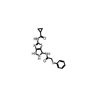 O=C(CSc1ccccc1)NC1NNc2nc(NC(=O)C3CC3)sc21